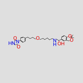 CC1(C)OCc2cc([C@@H](O)CNCCCCCCOCCCCc3ccc(N4C(=O)CNC4=O)cc3)ccc2O1